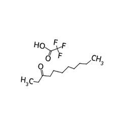 CCCCCCCCC(=O)CC.O=C(O)C(F)(F)F